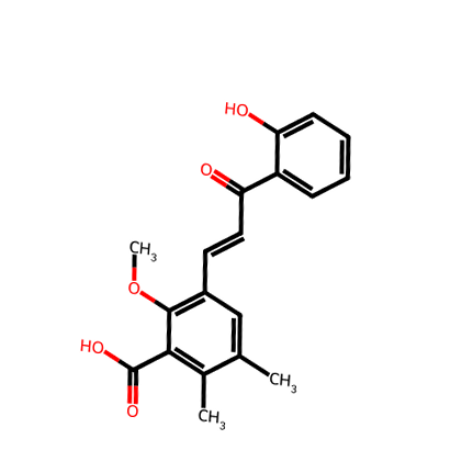 COc1c(C=CC(=O)c2ccccc2O)cc(C)c(C)c1C(=O)O